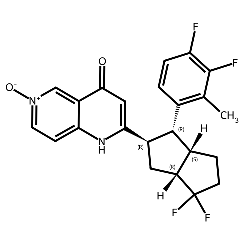 Cc1c([C@@H]2[C@@H]3CCC(F)(F)[C@@H]3C[C@H]2c2cc(=O)c3c[n+]([O-])ccc3[nH]2)ccc(F)c1F